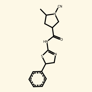 CC1CC(C(=O)NC2=NCC(c3ccccc3)S2)CN1C#N